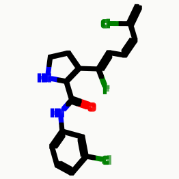 C=C(Cl)/C=C\C=C(/F)C1CCNC1C(=O)Nc1cccc(Cl)c1